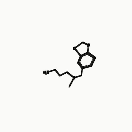 CN(CCCN)Cc1ccc2c(c1)OCO2